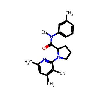 CCN(C(=O)C1CCCN1c1nc(C)cc(C)c1C#N)c1cccc(C)c1